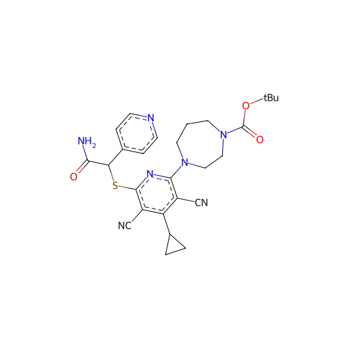 CC(C)(C)OC(=O)N1CCCN(c2nc(SC(C(N)=O)c3ccncc3)c(C#N)c(C3CC3)c2C#N)CC1